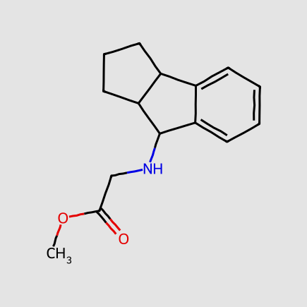 COC(=O)CNC1c2ccccc2C2CCCC21